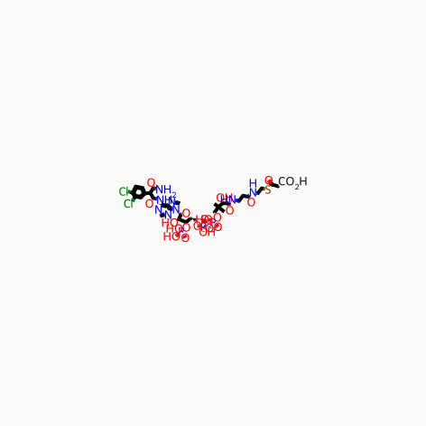 CC(C)(COP(=O)(O)OP(=O)(O)OC[C@H]1O[C@@H](n2cnc3c(NC(=O)C(C(N)=O)c4ccc(Cl)c(Cl)c4)ncnc32)[C@H](O)[C@@H]1OP(=O)(O)O)[C@@H](O)C(=O)NCCC(=O)NCCSC(=O)CC(=O)O